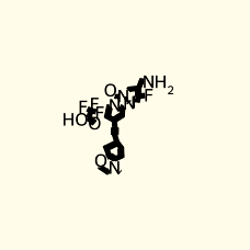 CN1CCOc2cc(C#Cc3ccn4c(=O)n(CC(CN)=C(F)F)nc4c3)ccc21.O=C(O)C(F)(F)F